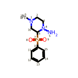 CC(C)N1CCN(N)C(S(=O)(=O)c2ccccc2)C1